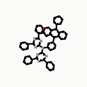 c1ccc(-c2nc(-c3ccccc3)nc(N(c3cccc(-c4c5ccccc5c(-c5ccccc5)c5ccccc45)c3)c3nc(-c4ccccc4)nc(-c4ccccc4)n3)n2)cc1